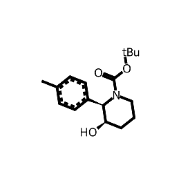 Cc1ccc([C@@H]2[C@H](O)CCCN2C(=O)OC(C)(C)C)cc1